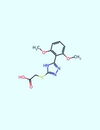 COc1cccc(OC)c1-c1nnc(SCC(=O)O)[nH]1